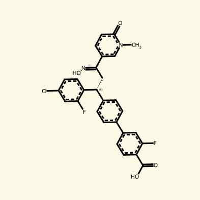 Cn1cc(/C(C[C@H](c2ccc(-c3ccc(C(=O)O)c(F)c3)cc2)c2ccc(Cl)cc2F)=N/O)ccc1=O